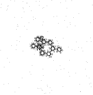 c1ccc(-c2cc(-c3ccccc3)cc(-c3cccc(-c4cc(-c5nc(-c6ccccc6)nc(-c6ccccc6)n5)c5c(c4)oc4ccccc45)c3)c2)cc1